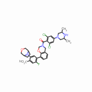 CC1CN(c2cc(Cl)c(C(=O)N3COc4c(cccc4-c4cc(N5C6CCC5COC6)c(C(=O)O)cc4F)C3)c(Cl)c2)CC(C)N1